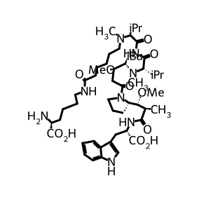 CC[C@H](C)[C@@H]([C@@H](CC(=O)N1CCC[C@H]1[C@H](OC)[C@@H](C)C(=O)N[C@@H](Cc1c[nH]c2ccccc12)C(=O)O)OC)N(C)[C@H](C(=O)NC(=O)[C@H](C(C)C)N(C)CCCCCC(=O)NCCCC[C@H](N)C(=O)O)C(C)C